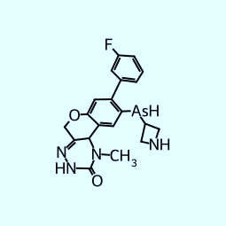 CN1C(=O)NN=C2COc3cc(-c4cccc(F)c4)c([AsH]C4CNC4)cc3C21